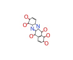 O=C1C=CC2N=c3c(=O)c4c(=O)c(=O)ccc=4c(=O)c3=NC2C1=O